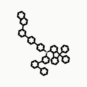 c1ccc(-c2ccccc2-c2cccc(N(c3ccc(-c4ccc(-c5cccc(-c6ccc7ccccc7c6)c5)cc4)cc3)c3cccc4c3-c3ccccc3C4(c3ccccc3)c3ccccc3)c2)cc1